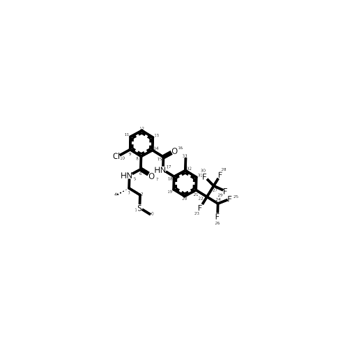 CSC[C@H](C)NC(=O)c1c(Cl)cccc1C(=O)Nc1ccc(C(F)(C(F)F)C(F)(F)F)cc1C